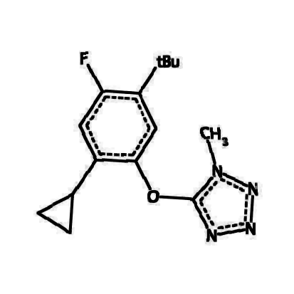 Cn1nnnc1Oc1cc(C(C)(C)C)c(F)cc1C1CC1